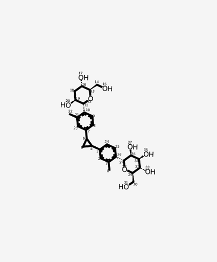 Cc1cc(C2CC2c2ccc([C@H]3O[C@H](CO)[C@@H](O)C[C@@H]3O)c(C)c2)ccc1[C@H]1O[C@H](CO)[C@@H](O)[C@H](O)[C@@H]1O